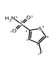 NS(=O)(=O)c1cc(F)cs1